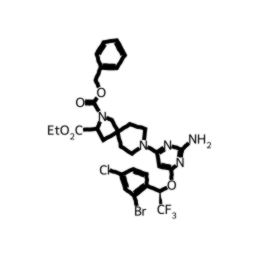 CCOC(=O)C1CC2(CCN(c3cc(O[C@H](c4ccc(Cl)cc4Br)C(F)(F)F)nc(N)n3)CC2)CN1C(=O)OCc1ccccc1